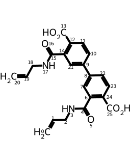 C=CCNC(=O)c1cc(-c2ccc(C(=O)O)c(C(=O)NCC=C)c2)ccc1C(=O)O